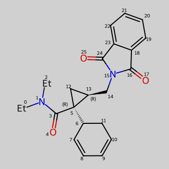 CCN(CC)C(=O)[C@@]1(C2C=CC=CC2)C[C@H]1CN1C(=O)c2ccccc2C1=O